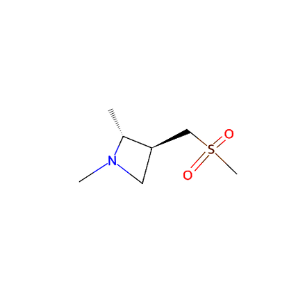 C[C@@H]1[C@@H](CS(C)(=O)=O)CN1C